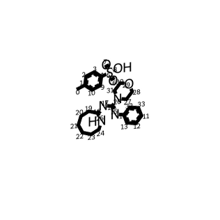 Cc1ccc(S(=O)(=O)O)cc1.c1ccc(N=C(N=C2CCCCCCN2)N2CCOCC2)cc1